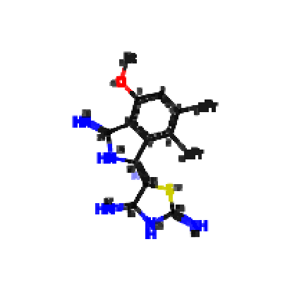 CCCc1cc(OCC)c2c(c1CCC)/C(=C1\SC(=N)NC1=N)NC2=N